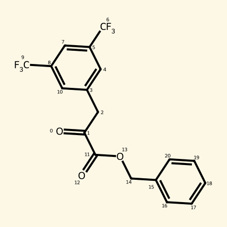 O=C(Cc1cc(C(F)(F)F)cc(C(F)(F)F)c1)C(=O)OCc1ccccc1